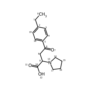 CCc1ccc(C(=O)CC(C(=O)O)N2CCCC2)cc1